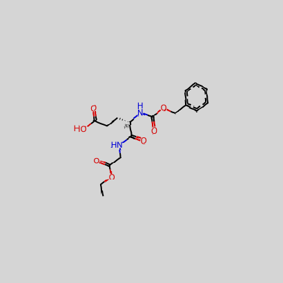 CCOC(=O)CNC(=O)[C@H](CCC(=O)O)NC(=O)OCc1ccccc1